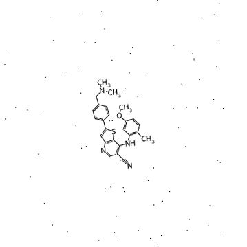 COc1ccc(C)c(Nc2c(C#N)cnc3cc(-c4ccc(CN(C)C)cc4)sc23)c1